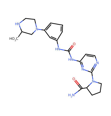 NC(=O)C1CCCN1c1nccc(NC(=O)Nc2cccc(N3CCNC(C(=O)O)C3)c2)n1